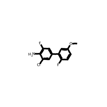 COc1ccc(F)c(-c2cc(F)c(N)c(Cl)c2)c1